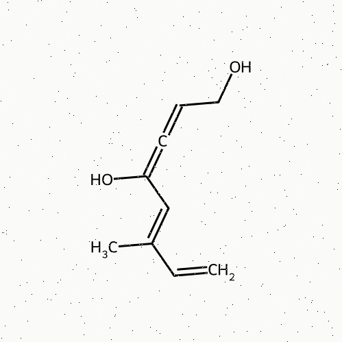 C=CC(C)=CC(O)=C=CCO